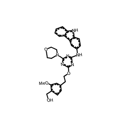 COc1cc(CCOc2nc(Nc3ccc4[nH]c5ccccc5c4c3)nc(N3CCOCC3)n2)ccc1CO